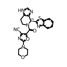 N#Cc1nc(N2CCOCC2)oc1C(=O)N1CCc2[nH]cnc2[C@H]1c1nc2ccccc2s1